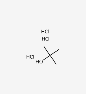 CC(C)(C)O.Cl.Cl.Cl